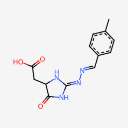 Cc1ccc(C=NN=C2NC(=O)C(CC(=O)O)N2)cc1